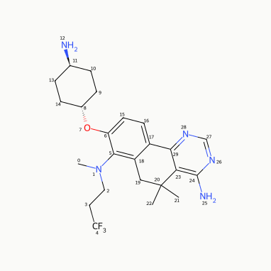 CN(CCC(F)(F)F)c1c(O[C@H]2CC[C@H](N)CC2)ccc2c1CC(C)(C)c1c(N)ncnc1-2